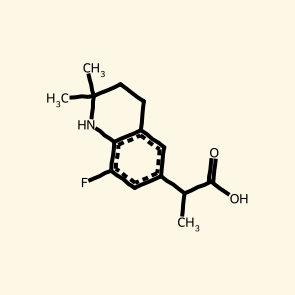 CC(C(=O)O)c1cc(F)c2c(c1)CCC(C)(C)N2